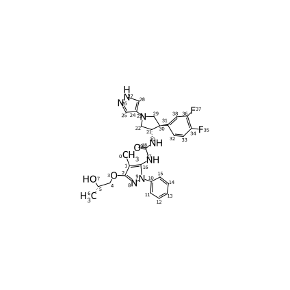 Cc1c(OC[C@H](C)O)nn(-c2ccccc2)c1NC(=O)N[C@@H]1CN(c2cn[nH]c2)C[C@H]1c1ccc(F)c(F)c1